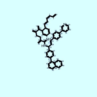 C=C/C=C\C=C\C1C=CC=CC1C(=C)C(=C)CCC(=C)C(=N)NC(/C=C/c1ccc(-c2cccnc2)cc1)c1ccc(-c2cccc3ccccc23)cc1